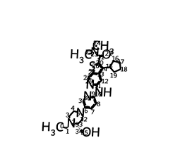 CCN1CCN(c2ccc(Nc3cc4c(C5CCCC5)c(C(=O)N(C)C)sc4cn3)nc2)C[C@@H]1CO